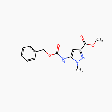 COC(=O)c1cc(NC(=O)OCc2ccccc2)n(C)n1